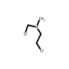 CN(CCl)CCCl